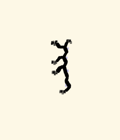 C=C\C(C)=C/C(=C/C(C=C)=C/C=C/C)CC